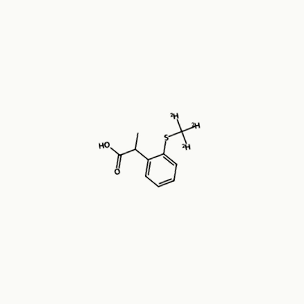 [2H]C([2H])([2H])Sc1ccccc1C(C)C(=O)O